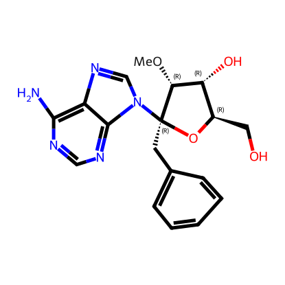 CO[C@@H]1[C@H](O)[C@@H](CO)O[C@@]1(Cc1ccccc1)n1cnc2c(N)ncnc21